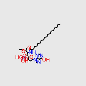 CCCCCCCCCCCCCCCCCC(=O)NC(C(C)OCC)C(OP(=O)(O)O)[C@@H]1CC[C@H](n2cnc3c(O)ncnc32)O1